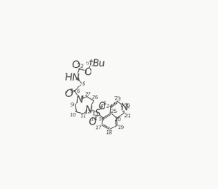 CC(C)(C)OC(=O)NCC(=O)N1CCCN(S(=O)(=O)c2cccc3cnccc23)CC1